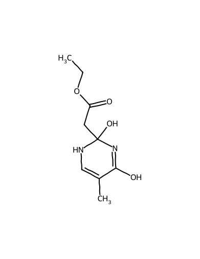 CCOC(=O)CC1(O)N=C(O)C(C)=CN1